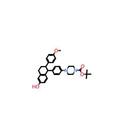 COc1ccc(C2CCc3cc(O)ccc3C2c2ccc(N3CCN(C(=O)OC(C)(C)C)CC3)cc2)cc1